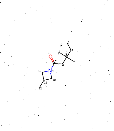 CCC(C)(CC)CC(=O)N1CC(C)C1